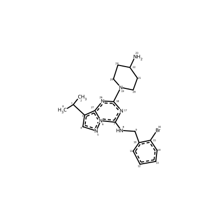 CC(C)c1cnn2c(NCc3ccccc3Br)nc(N3CCC(N)CC3)nc12